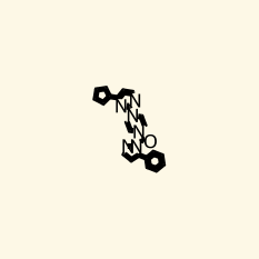 O=C(N1CCN(c2nccc(C3CCCC3)n2)CC1)N1N=CCC1c1ccccc1